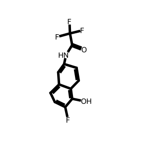 O=C(Nc1ccc2c(O)c(F)ccc2c1)C(F)(F)F